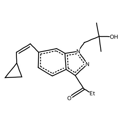 CCC(=O)c1nn(CC(C)(C)O)c2cc(/C=C\C3CC3)ccc12